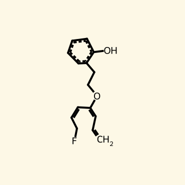 C=C/C=C(\C=C/CF)OCCc1ccccc1O